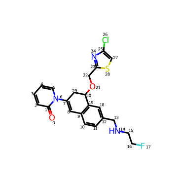 O=c1ccccn1C1=Cc2ccc(CNCCF)cc2C(OCc2nc(Cl)cs2)C1